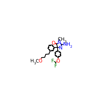 COCCCCc1cccc(C2(c3ccc(OC(F)F)cc3)N=C(N)N(C)C2=O)c1